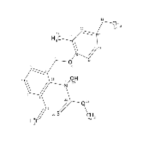 C=Cc1cccc(COc2ccc(CC)cc2C)c1N(O)C(=S)OC